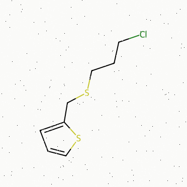 ClCCCSCc1cccs1